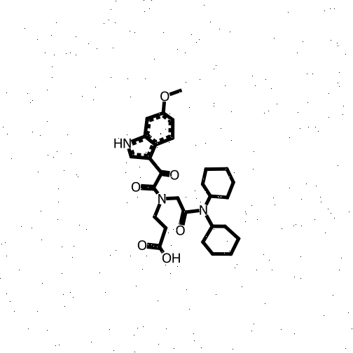 COc1ccc2c(C(=O)C(=O)N(CCC(=O)O)CC(=O)N(C3CCCCC3)C3CCCCC3)c[nH]c2c1